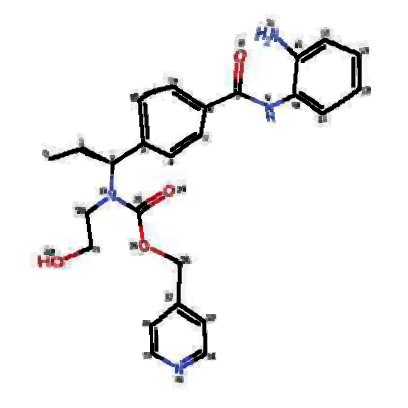 CC[C@@H](c1ccc(C(=O)Nc2ccccc2N)cc1)N(CCO)C(=O)OCc1ccncc1